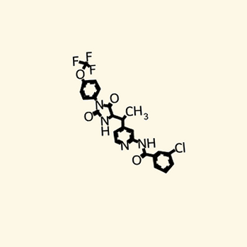 CC(c1ccnc(NC(=O)c2cccc(Cl)c2)c1)C1NC(=O)N(c2ccc(OC(F)(F)F)cc2)C1=O